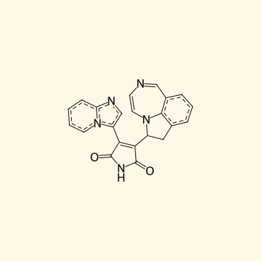 O=C1NC(=O)C(C2Cc3cccc4c3N2C=CN=C4)=C1c1cnc2ccccn12